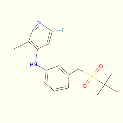 Cc1cnc(F)cc1Nc1cccc(CS(=O)(=O)C(C)(C)C)c1